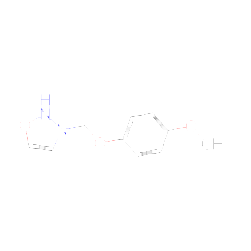 COc1ccc(OCN2C=CON2)cc1